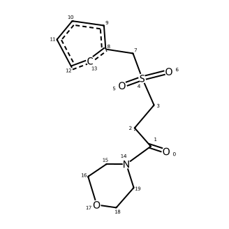 O=C([CH]CS(=O)(=O)Cc1ccccc1)N1CCOCC1